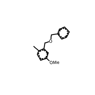 COc1ccc(C)c(COCc2ccccc2)c1